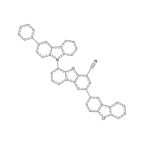 N#Cc1cc(-c2ccc3oc4ccccc4c3c2)cc2c1oc1c(-n3c4ccccc4c4cc(-c5ccccc5)ccc43)cccc12